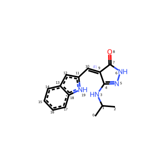 CC(C)NC1=NNC(=O)/C1=C/c1cc2ccccc2[nH]1